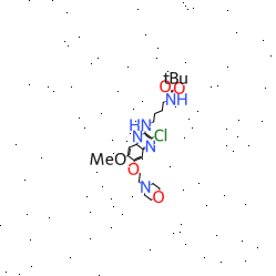 COc1cc2nc(NCCCCNC(=O)OC(C)(C)C)c(Cl)nc2cc1OCCN1CCOCC1